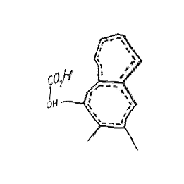 Cc1cc2ccccc2c(C)c1C.O=C(O)O